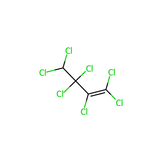 ClC(Cl)=C(Cl)C(Cl)(Cl)C(Cl)Cl